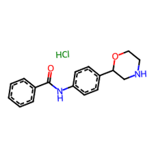 Cl.O=C(Nc1ccc(C2CNCCO2)cc1)c1ccccc1